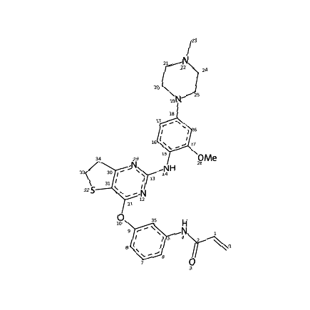 C=CC(=O)Nc1cccc(Oc2nc(Nc3ccc(N4CCN(C)CC4)cc3OC)nc3c2SCC3)c1